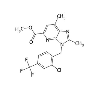 COC(=O)c1cc(C)c2nc(C)n(Cc3ccc(C(F)(F)F)cc3Cl)c2n1